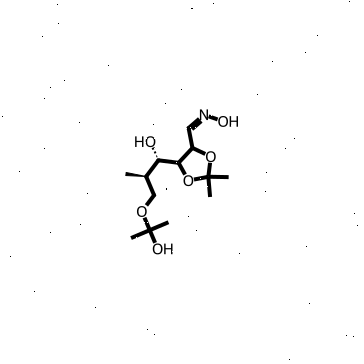 C[C@H](COC(C)(C)O)[C@H](O)C1OC(C)(C)OC1/C=N\O